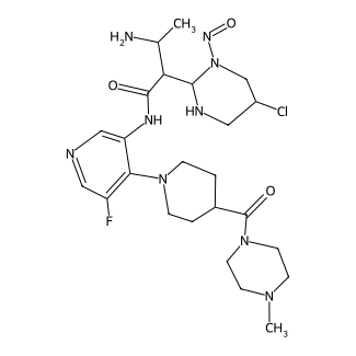 CC(N)C(C(=O)Nc1cncc(F)c1N1CCC(C(=O)N2CCN(C)CC2)CC1)C1NCC(Cl)CN1N=O